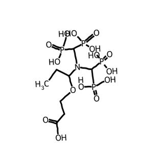 CCC(OCCC(=O)O)N(C(P(=O)(O)O)P(=O)(O)O)C(P(=O)(O)O)P(=O)(O)O